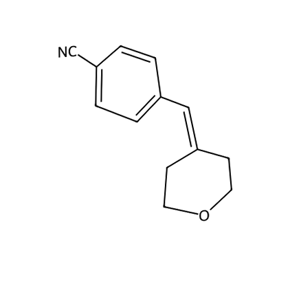 N#Cc1ccc(C=C2CCOCC2)cc1